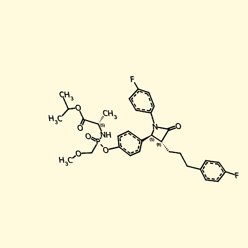 COCP(=O)(N[C@@H](C)C(=O)OC(C)C)Oc1ccc([C@@H]2[C@@H](CCCc3ccc(F)cc3)C(=O)N2c2ccc(F)cc2)cc1